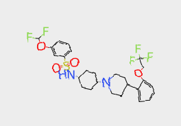 O=S(=O)(N[C@H]1CC[C@@H](N2CCC(c3ccccc3OCC(F)(F)F)CC2)CC1)c1cccc(OC(F)F)c1